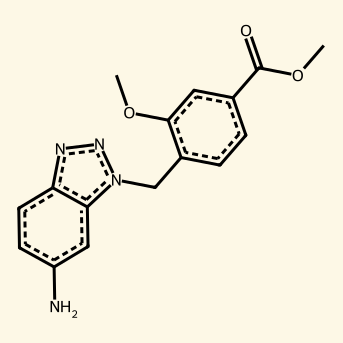 COC(=O)c1ccc(Cn2nnc3ccc(N)cc32)c(OC)c1